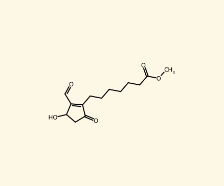 COC(=O)CCCCCCC1=C(C=O)C(O)CC1=O